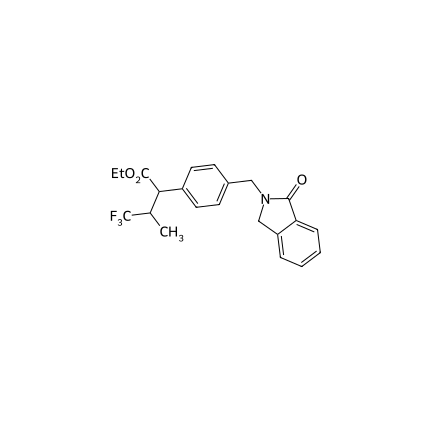 CCOC(=O)C(c1ccc(CN2Cc3ccccc3C2=O)cc1)C(C)C(F)(F)F